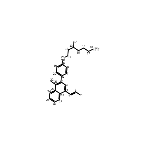 C/C=C/c1cc(-c2ccc(OCCC(C)CCCC(C)C)cc2)c(C)c2ccccc12